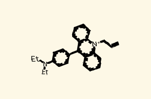 C=CC[n+]1c2ccccc2c(-c2ccc(N(CC)CC)cc2)c2ccccc21